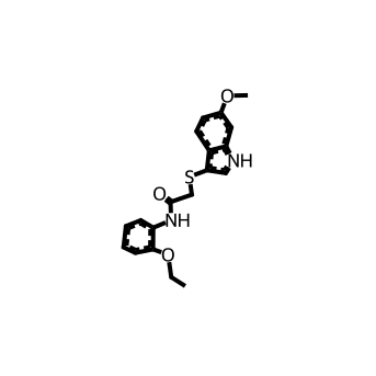 CCOc1ccccc1NC(=O)CSc1c[nH]c2cc(OC)ccc12